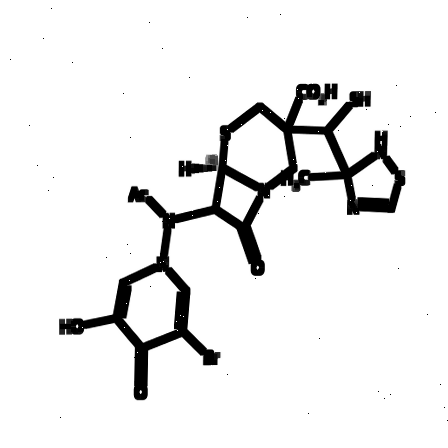 CC(=O)N(C1C(=O)N2CC(C(=O)O)(C(S)C3(C)N=CSN3)CS[C@H]12)n1cc(O)c(=O)c(Br)c1